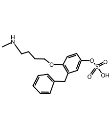 CNCCCCOc1ccc(OS(=O)(=O)O)cc1Cc1ccccc1